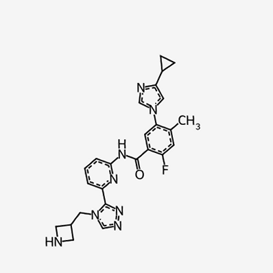 Cc1cc(F)c(C(=O)Nc2cccc(-c3nncn3CC3CNC3)n2)cc1-n1cnc(C2CC2)c1